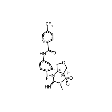 CN1C(=N)N[C@@]2(c3cc(NC(=O)c4ccc(C(F)(F)F)cn4)ccc3F)COC[C@H]2S1(=O)=O